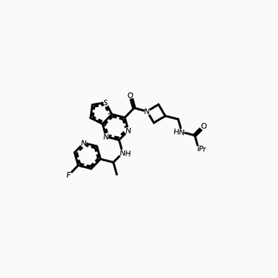 CC(C)C(=O)NCC1CN(C(=O)c2nc(NC(C)c3cncc(F)c3)nc3ccsc23)C1